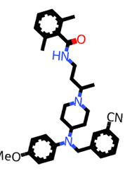 COc1ccc(N(Cc2cccc(C#N)c2)C2CCN(C(C)CCNC(=O)c3c(C)cccc3C)CC2)cc1